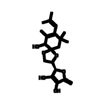 C=C1O[C@H](C2COC3(CC(C)(C)C(C=C(C)C)=C(C)C3O)O2)C(O)=C1O